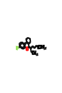 CCCCC(CC)C(=O)C1=C(c2ccc(F)cc2)CCCC1